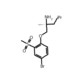 CC(C)C[C@](C)(N)COc1ccc(Br)cc1S(C)(=O)=O